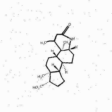 CC1CC(=O)N[C@@H]2CC[C@H]3[C@@H]4CC[C@H](C(=O)O)[C@@]4(C)CC[C@@H]3[C@@]12C